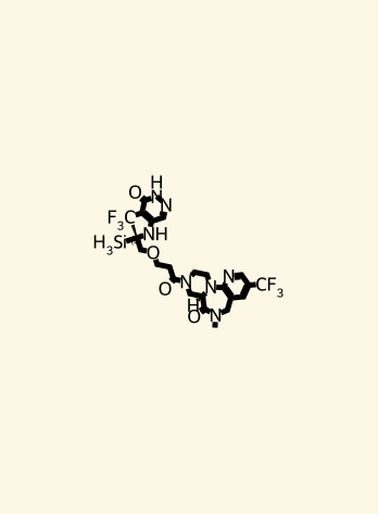 CN1Cc2cc(C(F)(F)F)cnc2N2CCN(C(=O)CCOC[C@](C)([SiH3])Nc3cn[nH]c(=O)c3C(F)(F)F)C[C@@H]2C1=O